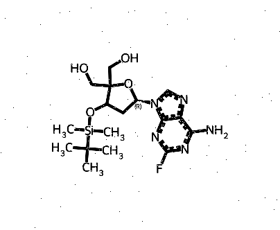 CC(C)(C)[Si](C)(C)OC1C[C@H](n2cnc3c(N)nc(F)nc32)OC1(CO)CO